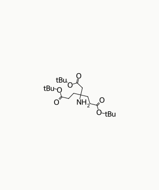 CC(C)(C)OC(=O)CCC(N)(CCC(=O)OC(C)(C)C)CC(=O)OC(C)(C)C